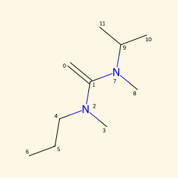 C=C(N(C)CCC)N(C)C(C)C